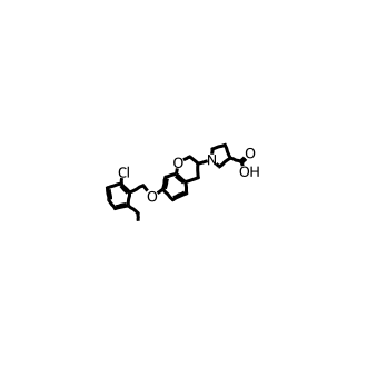 CCc1cccc(Cl)c1COc1ccc2c(c1)OCC(N1CCC(C(=O)O)C1)C2